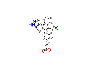 O=C(O)C=Cc1ccc(C(=C(CCCl)c2ccccc2)c2ccc3[nH]ncc3c2)cc1